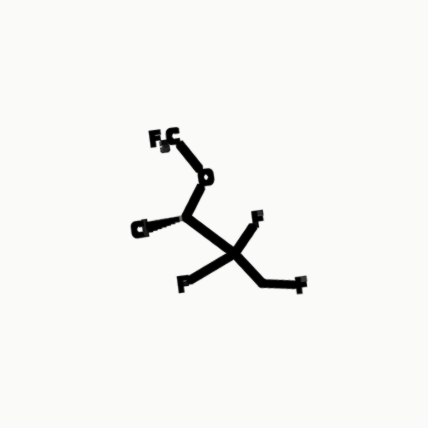 FCC(F)(F)[C@H](Cl)OC(F)(F)F